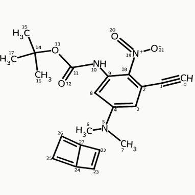 C#Cc1cc(N(C)C)cc(NC(=O)OC(C)(C)C)c1[N+](=O)[O-].c1cc2ccc1-2